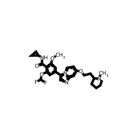 COc1cc(-c2cnc3cc(OCCC4CCCCN4C)ccn23)cc(OC(F)F)c1C(=O)NC1CC1